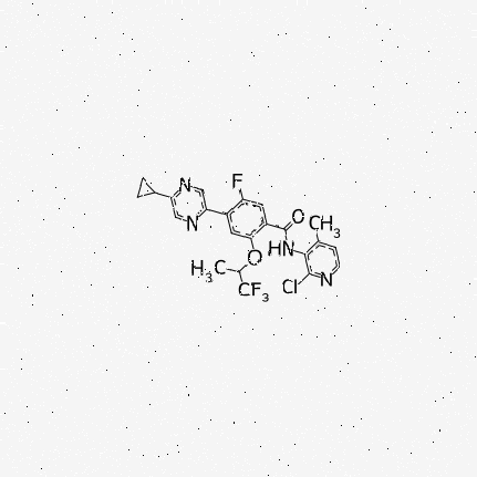 Cc1ccnc(Cl)c1NC(=O)c1cc(F)c(-c2cnc(C3CC3)cn2)cc1OC(C)C(F)(F)F